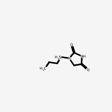 CCC[SiH2]N1CC(=O)NC1=O